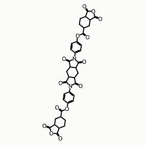 O=C(Oc1ccc(N2C(=O)C3CC4C(=O)N(c5ccc(OC(=O)C6CCC7C(=O)OC(=O)C7C6)cc5)C(=O)C4CC3C2=O)cc1)C1CCC2C(=O)OC(=O)C2C1